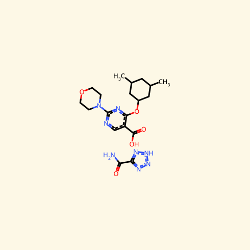 CC1CC(C)CC(Oc2nc(N3CCOCC3)ncc2C(=O)O)C1.NC(=O)c1nn[nH]n1